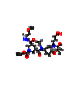 CCOC[C@@H](C)NC(=O)[C@H]1C[C@@H](C(=O)N(c2ccc3c(c2)N(CCCO)C(=O)C(C)(C)O3)C2CC2)CN(C(=O)OC(C)(C)C)C1